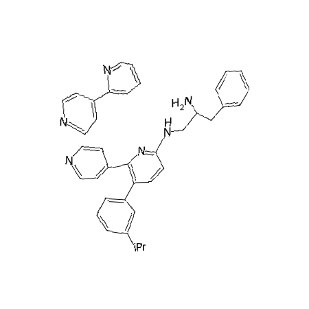 CC(C)c1cccc(-c2ccc(NCC(N)Cc3ccccc3)nc2-c2ccncc2)c1.c1ccc(-c2ccncc2)nc1